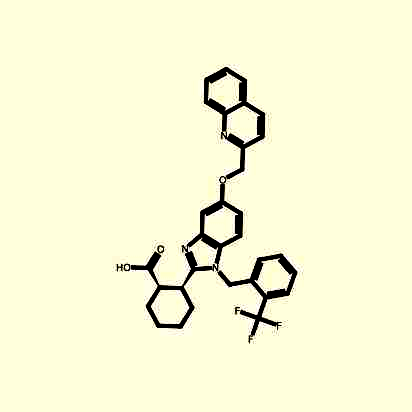 O=C(O)[C@@H]1CCCC[C@@H]1c1nc2cc(OCc3ccc4ccccc4n3)ccc2n1Cc1ccccc1C(F)(F)F